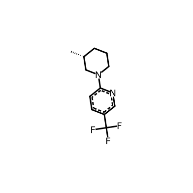 C[C@@H]1CCCN(c2ccc(C(F)(F)F)cn2)C1